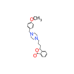 COc1ccc(CN2CCN(CCCC3OC(=O)c4ccccc43)CC2)cc1